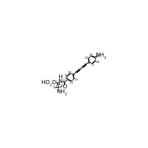 CC(C)(N)[C@H](NC(=O)c1ccc(C#CC#Cc2ccc(N)cc2)cc1)C(=O)O